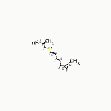 C=C(CCC)CS/C=C/CCCC1CC1C